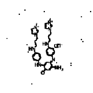 C[n+]1ccn(CCCNc2ccc(N=C3C=C(Nc4ccc(NCCCn5cc[n+](C)c5)cc4)C(=O)C=C3N)cc2)c1.[Cl-].[Cl-]